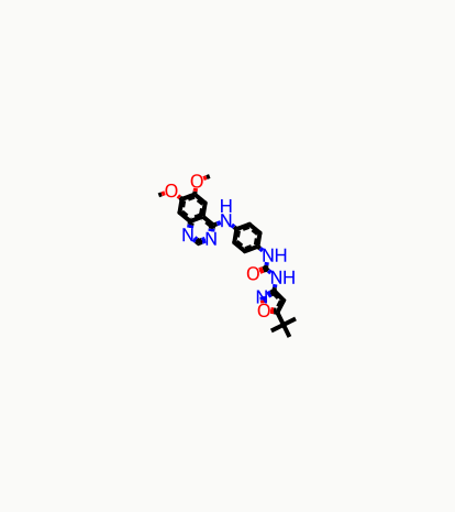 COc1cc2ncnc(Nc3ccc(NC(=O)Nc4cc(C(C)(C)C)on4)cc3)c2cc1OC